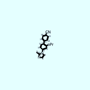 CCCc1cc(-n2ccnc2C)ccc1-c1ccc(C#N)cc1